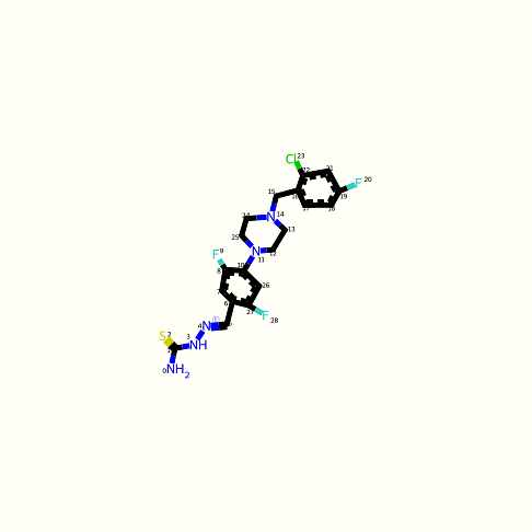 NC(=S)N/N=C/c1cc(F)c(N2CCN(Cc3ccc(F)cc3Cl)CC2)cc1F